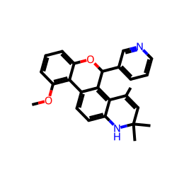 COc1cccc2c1-c1ccc3c(c1C(c1cccnc1)O2)C(C)=CC(C)(C)N3